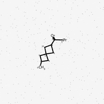 CC1CC2(C1)CC(C(=O)C(C)C)C2